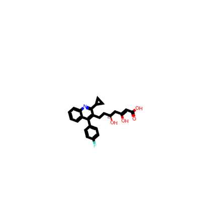 O=C(O)C=C(O)C[C@@H](O)CCc1c(C2CC2)nc2ccccc2c1-c1ccc(F)cc1